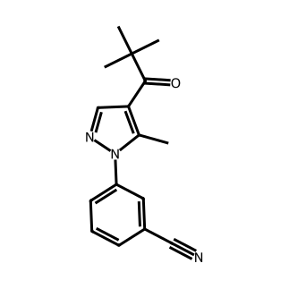 Cc1c(C(=O)C(C)(C)C)cnn1-c1cccc(C#N)c1